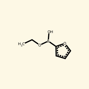 CCOB(O)c1ccco1